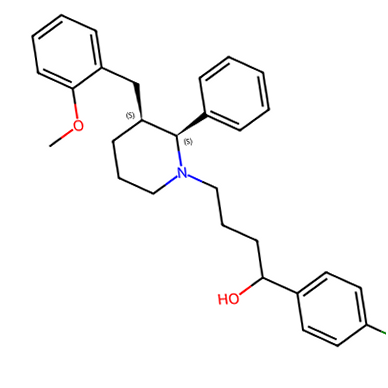 COc1ccccc1C[C@@H]1CCCN(CCCC(O)c2ccc(F)cc2)[C@@H]1c1ccccc1